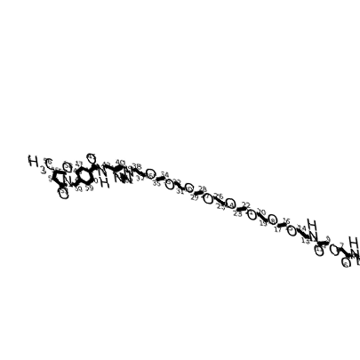 CC/C(C)=N/NC(=O)COCC(=O)NCCOCCOCCOCCOCCOCCOCCOCCOCCn1cc(CNC(=O)C2CCC(CN3C(=O)CC(C)C3=O)CC2)nn1